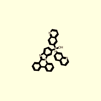 O[PH](c1ccc2ncccc2c1)(c1ccc2cccnc2c1)c1ccc2nc3c4ccccc4c4ccccc4n3c2c1